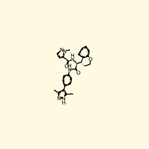 Cc1n[nH]c(C)c1-c1ccc(NC(=O)[C@@H](NC(=O)c2ccnn2C)[C@H]2CCOc3ccccc32)cc1